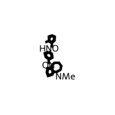 CNC1CCCCN(C(=O)c2ccc(NC(=O)c3ccccc3C)cc2)c2ccccc21